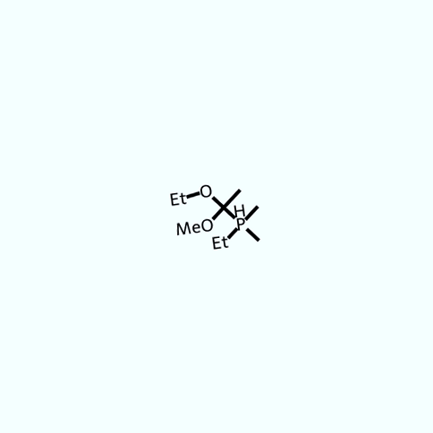 CCOC(C)(OC)[PH](C)(C)CC